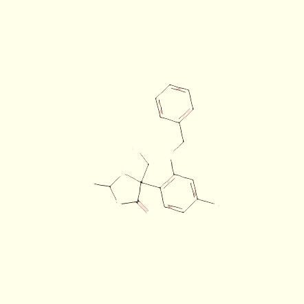 O=C1NC(O)NC1(CO)c1ccc(Br)cc1OCc1ccccc1